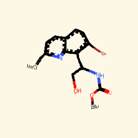 COc1ccc2ccc(Br)c(C(CO)NC(=O)OC(C)(C)C)c2n1